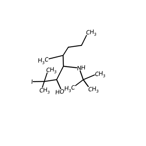 CCCC(C)C(NC(C)(C)C)C(O)C(C)(C)I